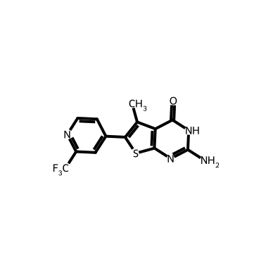 Cc1c(-c2ccnc(C(F)(F)F)c2)sc2nc(N)[nH]c(=O)c12